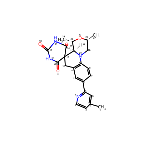 Cc1ccnc(-c2ccc3c(c2)CC2(C(=O)NC(=O)NC2=O)[C@H]2[C@H](C)O[C@H](C)CN32)c1